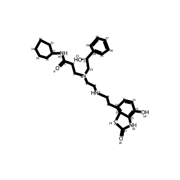 O=C(CCN(CCNCCc1ccc(O)c2[nH]c(=O)sc12)C[C@H](O)c1ccccc1)NC1CCCCC1